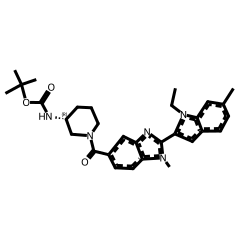 CCn1c(-c2nc3cc(C(=O)N4CCC[C@@H](NC(=O)OC(C)(C)C)C4)ccc3n2C)cc2ccc(C)cc21